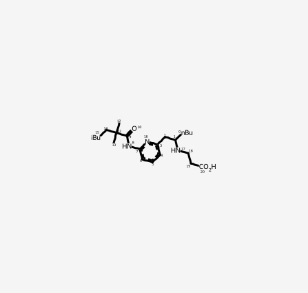 CCCCC(Cc1cccc(NC(=O)C(C)(C)CC(C)CC)n1)NCCC(=O)O